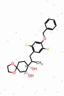 CC(Cc1cc(F)c(OCc2ccccc2)cc1F)[C@]1(O)CCC2(C[C@H]1O)OCCO2